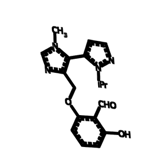 CC(C)n1nccc1-c1c(COc2cccc(O)c2C=O)ncn1C